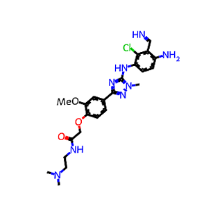 COc1cc(-c2nc(Nc3ccc(N)c(C=N)c3Cl)n(C)n2)ccc1OCC(=O)NCCN(C)C